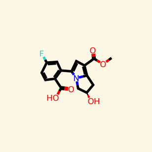 COC(=O)c1cc(-c2cc(F)ccc2C(=O)O)n2c1C[C@@H](O)C2